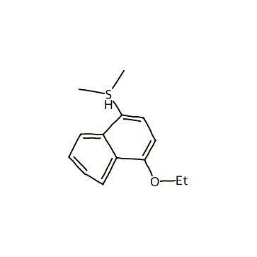 CCOc1ccc([SH](C)C)c2ccccc12